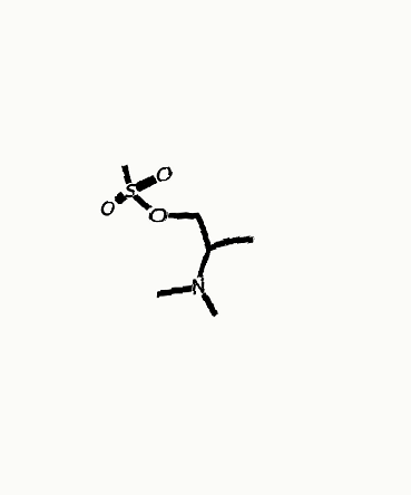 CC(COS(C)(=O)=O)N(C)C